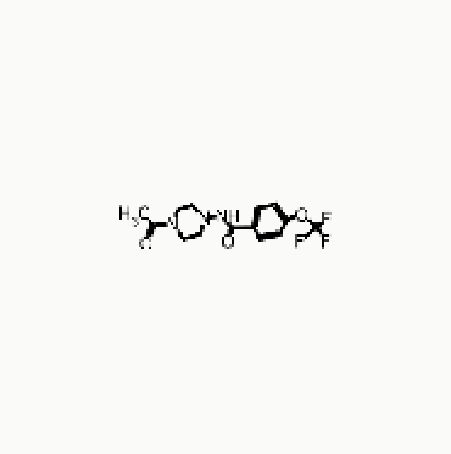 CC(=O)N1CCN(NC(=O)c2ccc(OC(F)(F)F)cc2)CC1